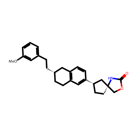 COc1cccc(CC[C@H]2CCc3cc([C@H]4CC[C@]5(COC(=O)N5)C4)ccc3C2)c1